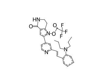 CCCN(CCC)c1ccccc1C=Cc1cc(-c2cc3c(n2OC(=O)C(F)(F)F)CCNC3=O)ccn1